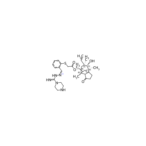 C=C[C@]1(C)C[C@@H](OC(=O)CSc2ccccc2/C=N\NC(=N)N2CCNCC2)[C@]2(C)C(C)CCC3(CCC(=O)C32)[C@@H](C)[C@@H]1O